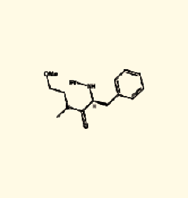 COCCN(C)C(=O)[C@H](Cc1ccccc1)NC(C)C